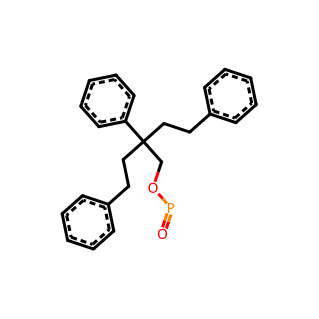 O=POCC(CCc1ccccc1)(CCc1ccccc1)c1ccccc1